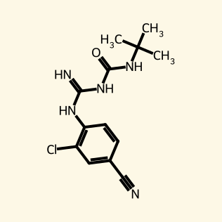 CC(C)(C)NC(=O)NC(=N)Nc1ccc(C#N)cc1Cl